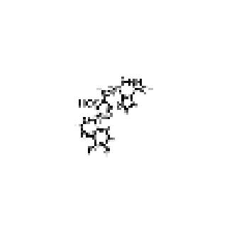 CC1NCN(C)c2c1ccn2[C@@H]1O[C@H]([C@@H]2OCOc3c2ccc(F)c3F)[C@@H](O)[C@H]1O